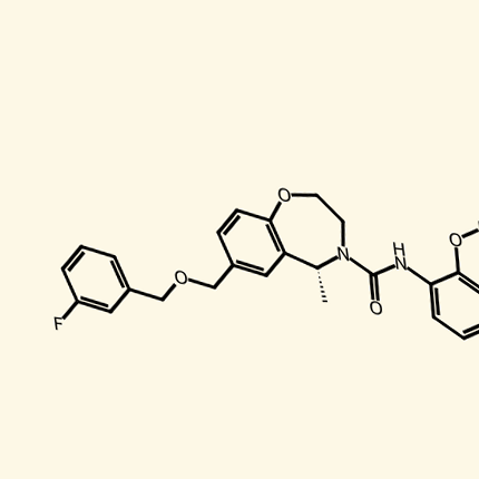 CCOc1ccccc1NC(=O)N1CCOc2ccc(COCc3cccc(F)c3)cc2[C@H]1C